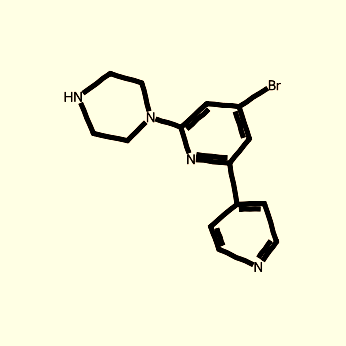 Brc1cc(-c2ccncc2)nc(N2CCNCC2)c1